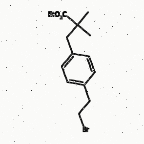 CCOC(=O)C(C)(C)Cc1ccc(CCBr)cc1